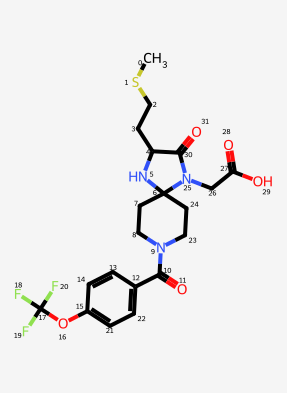 CSCCC1NC2(CCN(C(=O)c3ccc(OC(F)(F)F)cc3)CC2)N(CC(=O)O)C1=O